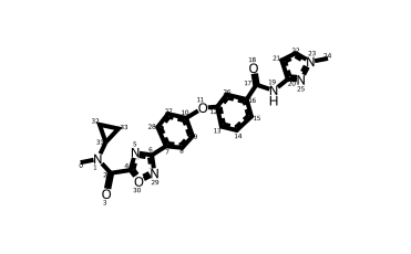 CN(C(=O)c1nc(-c2ccc(Oc3cccc(C(=O)Nc4ccn(C)n4)c3)cc2)no1)C1CC1